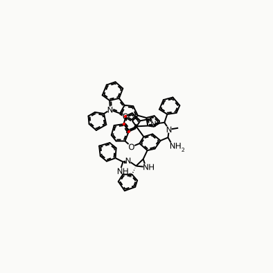 CN(C(N)c1cc(C2N[C@]2(/N=C(\N)c2ccccc2)c2ccccc2)c2c(c1)C1(c3ccccc3O2)c2ccccc2-c2cc3c4ccccc4n(-c4ccccc4)c3cc21)C(/N=C/c1ccccc1)c1ccccc1